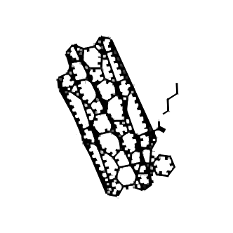 CCCCOC(=O)CCCC1(c2ccccc2)C23c4c5c6c7c8c9c(c%10c%11c2c2c4c4c%12c5c5c6c6c8c8c%13c9c9c%10c%10c%11c%11c2c2c4c4c%12c%12c5c5c6c8c6c8c%13c9c9c%10c%10c%11c2c2c4c4c%12c5c6c5c8c9c%10c2c45)C713